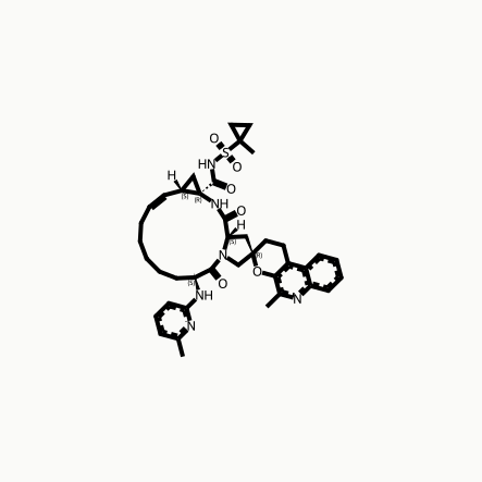 Cc1cccc(N[C@H]2CCCCCC=C[C@@H]3C[C@@]3(C(=O)NS(=O)(=O)C3(C)CC3)NC(=O)[C@@H]3C[C@]4(CCc5c(c(C)nc6ccccc56)O4)CN3C2=O)n1